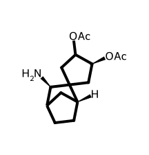 CC(=O)OC1CC2(C[C@@H]1OC(C)=O)[C@@H]1CCC(C1)[C@H]2N